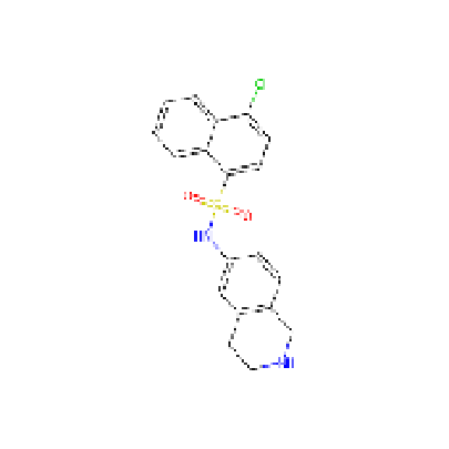 O=S(=O)(Nc1ccc2c(c1)CCNC2)c1ccc(Cl)c2ccccc12